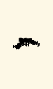 N/C=C\C(=C/N)NC(=O)c1cc2ccc(-c3nc(Nc4ccc5[nH]ncc5c4)cc4nccn34)cc2[nH]1